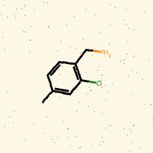 Cc1ccc(CP)c(Cl)c1